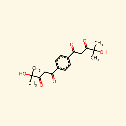 CC(C)(O)C(=O)CC(=O)c1ccc(C(=O)CC(=O)C(C)(C)O)cc1